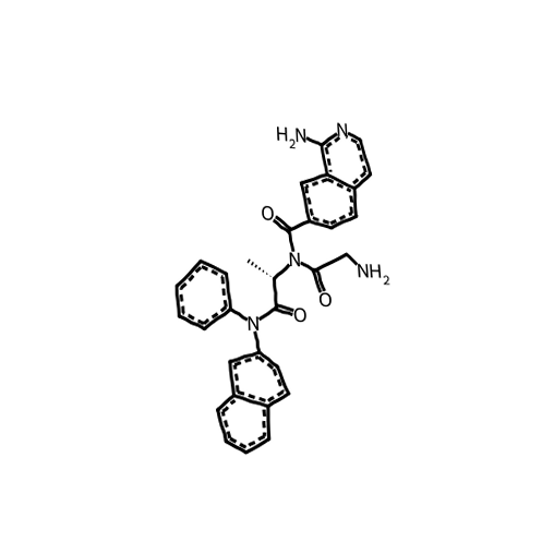 C[C@@H](C(=O)N(c1ccccc1)c1ccc2ccccc2c1)N(C(=O)CN)C(=O)c1ccc2ccnc(N)c2c1